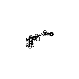 COC(=O)c1cn2c(cc1=O)-c1cc(Cl)c(OCCCSCC(=O)OCc3ccccc3)cc1OC[C@H]2C(C)C